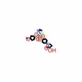 COc1ccc(S(=O)(=O)N(c2nccs2)S(=O)(=O)c2ccc(N3CCC(O)C3=O)cc2)cc1